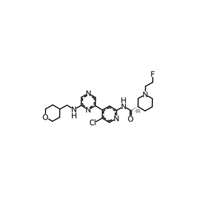 O=C(Nc1cc(-c2cncc(NCC3CCOCC3)n2)c(Cl)cn1)[C@H]1CCCN(CCF)C1